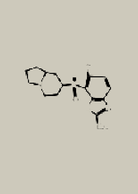 CC(C)(C)c1nc2ccc(Cl)c(S(=O)(=O)C3CCN4CCCC4C3)c2o1